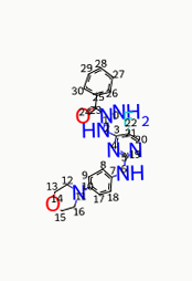 NN(Nc1nc(Nc2ccc(N3CCOCC3)cc2)ncc1F)C(=O)c1ccccc1